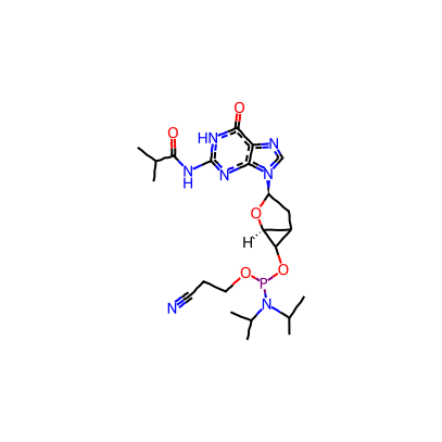 CC(C)C(=O)Nc1nc2c(ncn2[C@H]2CC3C(OP(OCCC#N)N(C(C)C)C(C)C)[C@H]3O2)c(=O)[nH]1